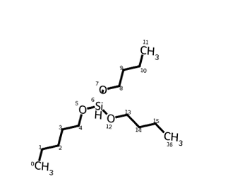 CCCCCO[SiH](OCCCC)OCCCC